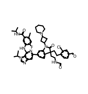 Cc1cc(F)c(Nc2nc(-c3ccc4c(c3)N(C3CC(N5CCCCC5)C3)C(=O)C4(CCNC=O)CCc3ccc(C=O)cc3Cl)cc3ncn(C(C)C)c23)cc1C(=O)NC(C)C